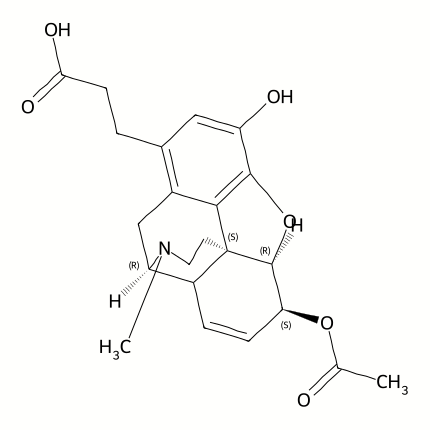 CC(=O)O[C@H]1C=CC2[C@H]3Cc4c(CCC(=O)O)cc(O)c5c4[C@@]2(CCN3C)[C@H]1O5